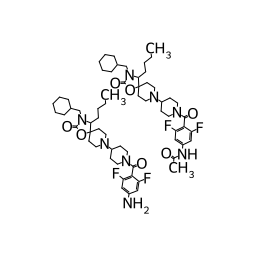 CCCCC1N(CC2CCCCC2)C(=O)OC12CCN(C1CCN(C(=O)c3c(F)cc(N)cc3F)CC1)CC2.CCCCC1N(CC2CCCCC2)C(=O)OC12CCN(C1CCN(C(=O)c3c(F)cc(NC(C)=O)cc3F)CC1)CC2